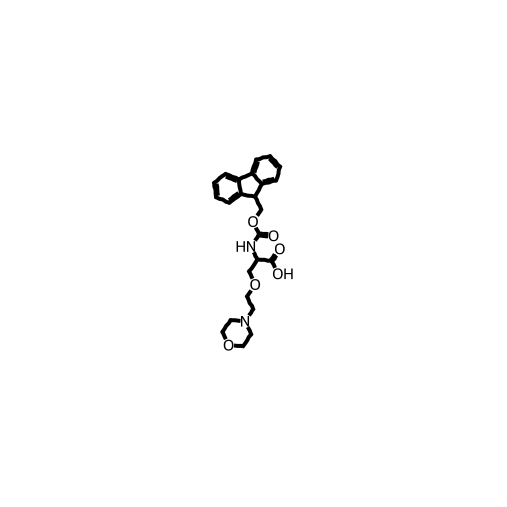 O=C(NC(COCCN1CCOCC1)C(=O)O)OCC1c2ccccc2-c2ccccc21